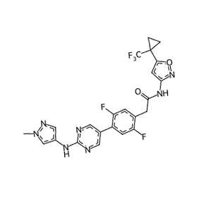 Cn1cc(Nc2ncc(-c3cc(F)c(CC(=O)Nc4cc(C5(C(F)(F)F)CC5)on4)cc3F)cn2)cn1